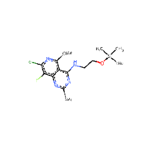 COc1nc(Cl)c(F)c2nc(SC)nc(NCCO[Si](C)(C)C(C)(C)C)c12